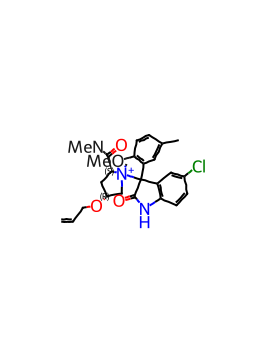 C=CCO[C@@H]1C[C@@H](C(=O)NC)[N+](C)(C2(c3cc(C)ccc3OC)C(=O)Nc3ccc(Cl)cc32)C1